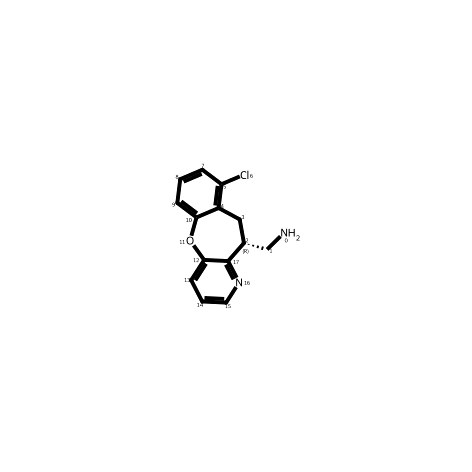 NC[C@H]1Cc2c(Cl)cccc2Oc2cccnc21